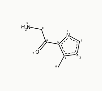 Cc1scnc1C(=O)CN